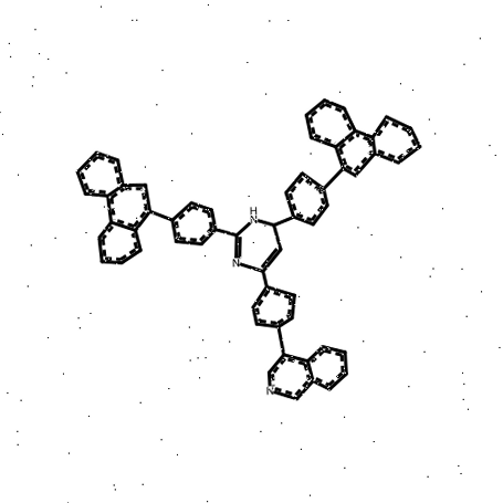 C1=C(c2ccc(-c3cncc4ccccc34)cc2)N=C(c2ccc(-c3cc4ccccc4c4ccccc34)cc2)NC1c1ccc(-c2cc3ccccc3c3ccccc23)cc1